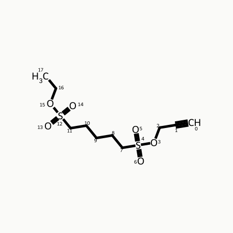 C#CCOS(=O)(=O)CCCCCS(=O)(=O)OCC